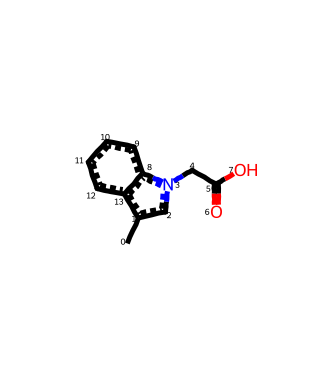 Cc1cn(CC(=O)O)c2ccccc12